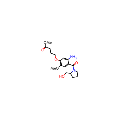 COC(=O)CCCOc1cc(N)c(C(=O)N2CCCC2CO)cc1OC